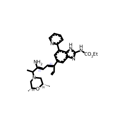 C=C/C(=C\C=C(/N)C(C)N1C[C@@H](C)O[C@@H](C)C1)c1cc(-c2ccccn2)c2[nH]c(NC(=O)OCC)nc2c1